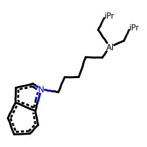 CC(C)[CH2][Al]([CH2]CCCCn1ccc2ccccc21)[CH2]C(C)C